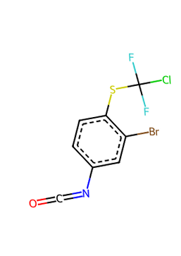 O=C=Nc1ccc(SC(F)(F)Cl)c(Br)c1